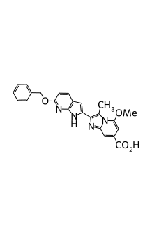 COc1cc(C(=O)O)cc2nc(-c3cc4ccc(OCc5ccccc5)nc4[nH]3)c(C)n12